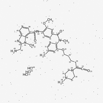 COc1cc(C(=O)N(C)c2ccc(C)cc2OCCCCC(=C=O)N2CCN(C)CC2)ccc1NC(=O)c1cccc2nc(CN)n(C)c12.Cl.Cl.Cl